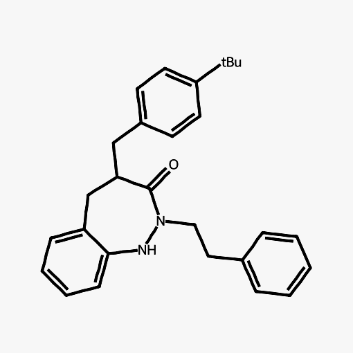 CC(C)(C)c1ccc(CC2Cc3ccccc3NN(CCc3ccccc3)C2=O)cc1